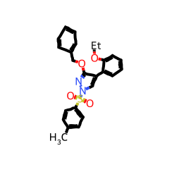 CCOc1ccccc1-c1cn(S(=O)(=O)c2ccc(C)cc2)nc1OCc1ccccc1